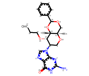 Nc1nc2c(ncn2[C@@H]2CO[C@@H]3COC(c4ccccc4)O[C@H]3[C@H]2OCCC=O)c(=O)[nH]1